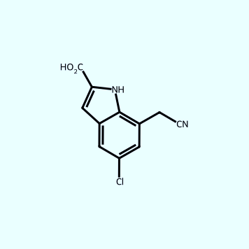 N#CCc1cc(Cl)cc2cc(C(=O)O)[nH]c12